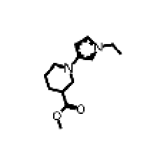 CCn1ccc(N2CCCC(C(=O)OC)C2)c1